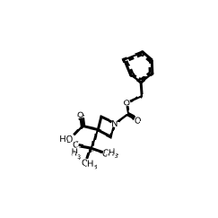 CC(C)(C)C1(C(=O)O)CN(C(=O)OCc2ccccc2)C1